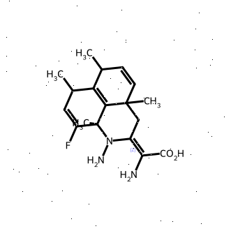 CC1C=CC2(C)C/C(=C(/N)C(=O)O)N(N)C3(C)C(F)=CC(C)C1=C23